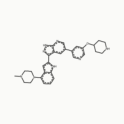 CN1CCN(c2cccc3[nH]c(-c4n[nH]c5ncc(-c6cncc(OC7CCNCC7)c6)cc45)cc23)CC1